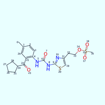 Cc1ccc(NC(=O)Nc2nc(CCOS(C)(=O)=O)cs2)c(C(=O)C2CCCC2)c1